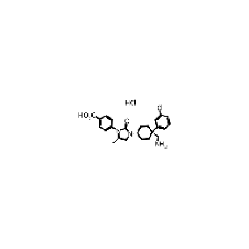 C[C@@H]1CN([C@H]2CC[C@@](CN)(c3cccc(Cl)c3)CC2)C(=O)N1c1ccc(C(=O)O)cc1.Cl